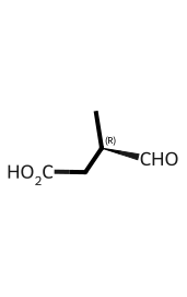 C[C@@H](C=O)CC(=O)O